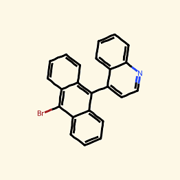 Brc1c2ccccc2c(-c2ccnc3ccccc23)c2ccccc12